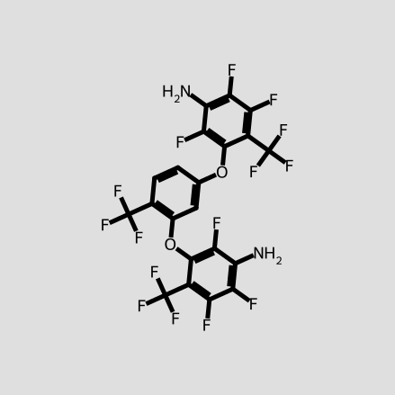 Nc1c(F)c(F)c(C(F)(F)F)c(Oc2ccc(C(F)(F)F)c(Oc3c(F)c(N)c(F)c(F)c3C(F)(F)F)c2)c1F